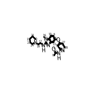 CC(=O)Nc1cc(Oc2ccc3c(c2)nc(NCCN2CCCCC2)n3C)ccn1